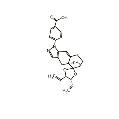 C=C[C@H]1OC2(CCCC3=Cc4c(cnn4-c4ccc(C(=O)O)cc4)C[C@@]32C)O[C@@H]1C=C